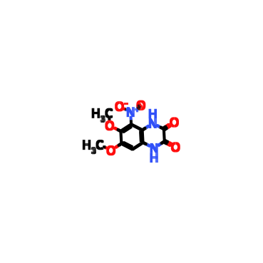 COc1cc2[nH]c(=O)c(=O)[nH]c2c([N+](=O)[O-])c1OC